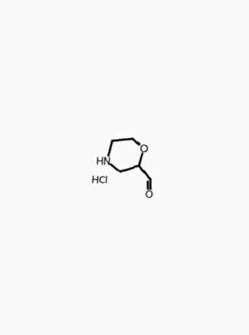 Cl.O=CC1CNCCO1